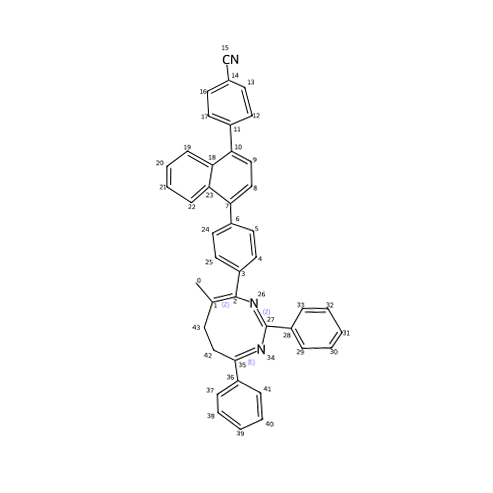 C/C1=C(c2ccc(-c3ccc(-c4ccc(C#N)cc4)c4ccccc34)cc2)/N=C(c2ccccc2)\N=C(\c2ccccc2)CC1